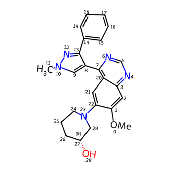 COc1cc2ncnc(-c3cn(C)nc3-c3ccccc3)c2cc1N1CCC[C@@H](O)C1